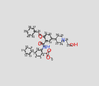 COC(=O)c1ccc(-c2ccccc2)cc1NC(=O)c1cc(C2CCN(CCO)CC2)ccc1OCc1ccccc1